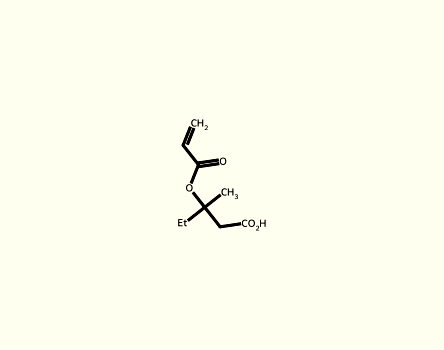 C=CC(=O)OC(C)(CC)CC(=O)O